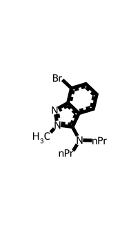 CCCN(CCC)c1c2cccc(Br)c2nn1C